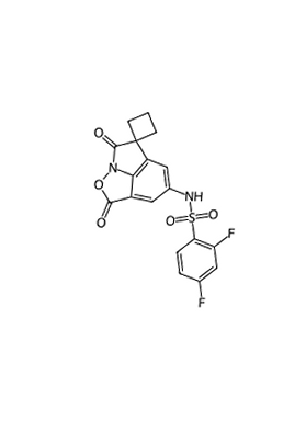 O=C1n2oc(=O)c3cc(NS(=O)(=O)c4ccc(F)cc4F)cc(c32)C12CCC2